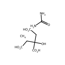 C.NC(N)=O.O=C(O)CC(O)(CC(=O)O)C(=O)O